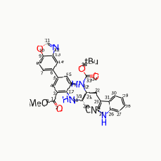 COC(=O)c1cc(-c2ccc3ocnc3c2)ccc1N[C@@H](C#N)[C@H](Cc1c[nH]c2ccccc12)NC(=O)OC(C)(C)C